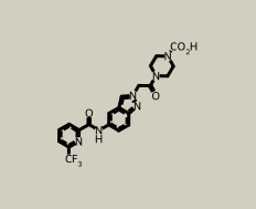 O=C(Nc1ccc2nn(CC(=O)N3CCN(C(=O)O)CC3)cc2c1)c1cccc(C(F)(F)F)n1